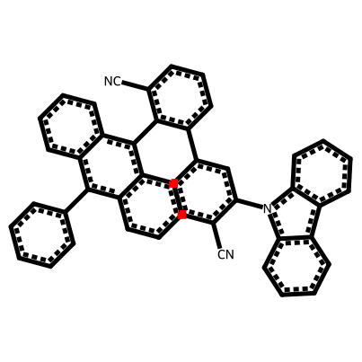 N#Cc1ccc(-c2cccc(C#N)c2-c2c3ccccc3c(-c3ccccc3)c3ccccc23)cc1-n1c2ccccc2c2ccccc21